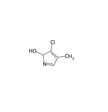 CC1=C(Cl)C(O)N=C1